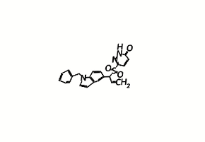 C=CC(c1ccc2c(ccn2Cc2ccccc2)c1)S(=O)(=O)c1ccc(=O)[nH]n1